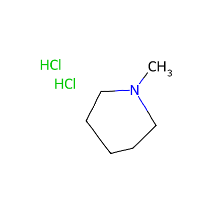 CN1CCCCC1.Cl.Cl